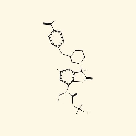 CCN(C(=O)OC(C)(C)C)c1cc(F)cc2c1NC(=O)[C@@]2(C)N1CCCC(Cc2ccc(C(=O)O)cc2)C1